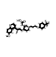 COc1ccc2nccc([C@@H](F)CC[C@@H]3CCN(CCCSc4ccc(C(F)(F)F)cc4)C[C@@H]3CC(=O)O)c2c1